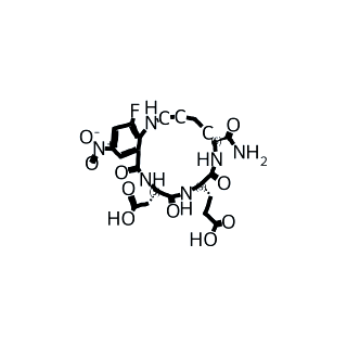 NC(=O)[C@@H]1CCCCNc2c(F)cc([N+](=O)[O-])cc2C(=O)N[C@@H](CC(=O)O)C(=O)N[C@@H](CCC(=O)O)C(=O)N1